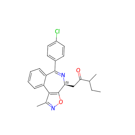 CCC(C)C(=O)C[C@@H]1N=C(c2ccc(Cl)cc2)c2ccccc2-c2c(C)noc21